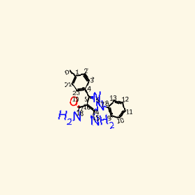 Cc1ccc(-c2nn(-c3ccccc3)c(N)c2C(N)=O)cc1